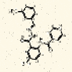 Cc1cccc(C=NNC(=O)c2cc(Br)ccc2NC(=O)c2ccncc2)c1